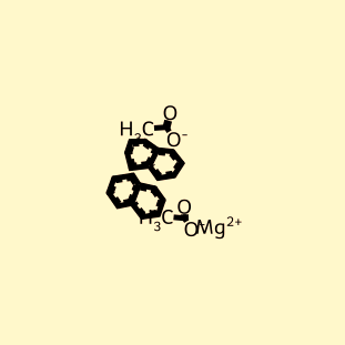 CC(=O)[O-].CC(=O)[O-].[Mg+2].c1ccc2ccccc2c1.c1ccc2ccccc2c1